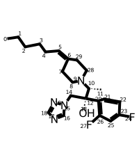 CCCCCC=C1CCN([C@H](C)[C@](O)(Cn2cncn2)c2ccc(F)cc2F)CC1